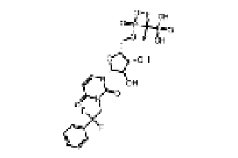 O=c1ccn([C@@H]2O[C@H](COP(=O)(O)C(F)(F)P(=O)(O)O)[C@H](O)C2O)c(=O)n1CC(F)(F)c1ccccc1